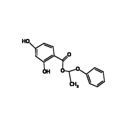 CC(OC(=O)c1ccc(O)cc1O)Oc1ccccc1